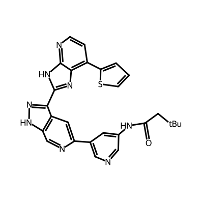 CC(C)(C)CC(=O)Nc1cncc(-c2cc3c(-c4nc5c(-c6cccs6)ccnc5[nH]4)n[nH]c3cn2)c1